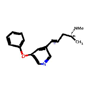 CN[C@H](C)C/C=C/c1cncc(Oc2ccccc2)c1